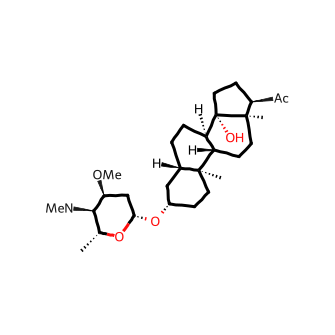 CN[C@H]1[C@@H](OC)C[C@H](O[C@H]2CC[C@@]3(C)[C@@H](CC[C@@H]4[C@@H]3CC[C@]3(C)[C@H](C(C)=O)CC[C@]43O)C2)O[C@@H]1C